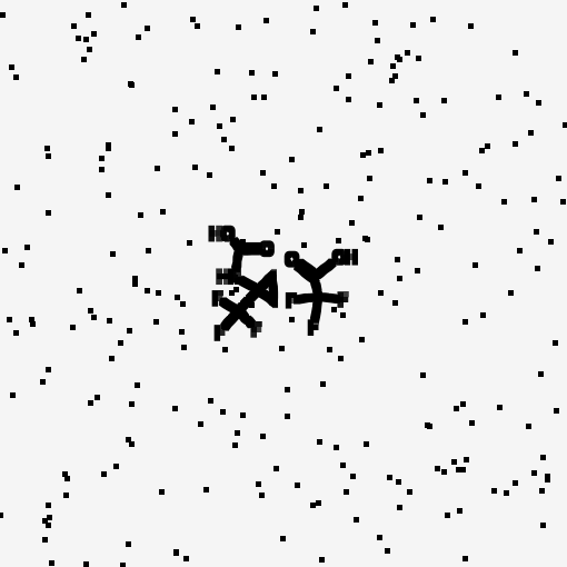 O=C(O)C(F)(F)F.O=C(O)NC1(C(F)(F)F)CC1